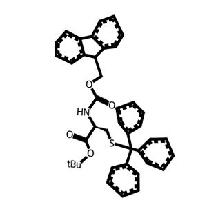 CC(C)(C)OC(=O)[C@H](CSC(c1ccccc1)(c1ccccc1)c1ccccc1)NC(=O)OCC1c2ccccc2-c2ccccc21